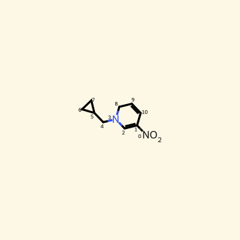 O=[N+]([O-])C1=CN(CC2CC2)CC=C1